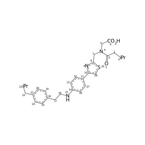 CC(C)CC(=O)N(CC(=O)O)Cc1nc(-c2ccc(NCCc3ccc(CC(C)C)cc3)cc2)cs1